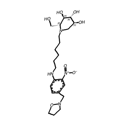 O=[N+]([O-])c1cc(CN2CCCO2)ccc1NCCCCCCN1C[C@H](O)[C@@H](O)[C@H](O)[C@H]1CO